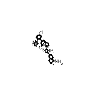 Nc1nccc2cc(-c3cnc([C@@H]4CCc5cc(-c6cc(Cl)ccc6-n6cnnn6)cc(=O)n54)[nH]3)ccc12